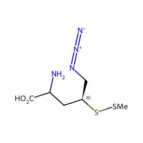 CSS[C@H](CN=[N+]=[N-])CC(N)C(=O)O